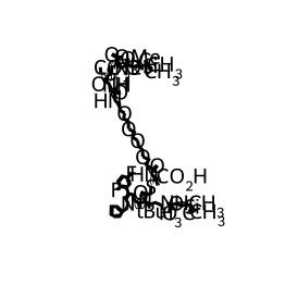 CCOC(=O)C[C@H](SC[C@H](NC(=O)OCC[Si](C)(C)C)C(=O)OC)C(=O)NCC(=O)NCCOCCOCCOCCOCCC(=O)N[C@@H](CSCC(=O)N(CCCNC(=O)OCC[Si](C)(C)C)[C@@H](c1cc(-c2cc(F)ccc2F)cn1Cc1ccccc1)C(C)(C)C)C(=O)O